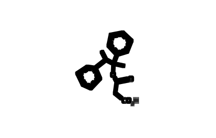 CC(c1ccccc1)C(C)(OC(=O)CC(=O)O)c1ccccc1